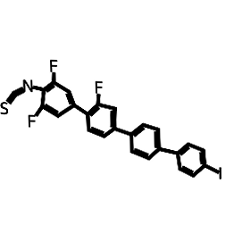 Fc1cc(-c2ccc(-c3ccc(I)cc3)cc2)ccc1-c1cc(F)c(N=C=S)c(F)c1